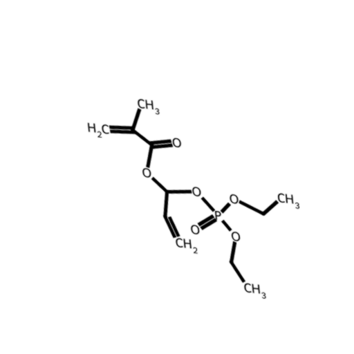 C=CC(OC(=O)C(=C)C)OP(=O)(OCC)OCC